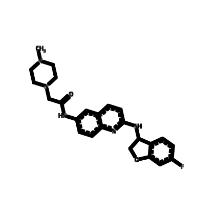 CN1CCN(CC(=O)Nc2ccc3nc(NC4COc5cc(F)ccc54)ccc3c2)CC1